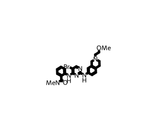 CNC(=O)c1ccccc1Nc1nc(Nc2ccc3c(c2)CN(CCOC)CC3)ncc1Br